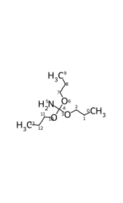 CCCOC(N)(OCCC)OCCC